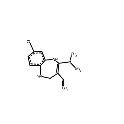 C=CC1=C(N(C)N)Nc2cc(Cl)ccc2NC1